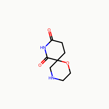 O=C1CCC2(CNCCO2)C(=O)N1